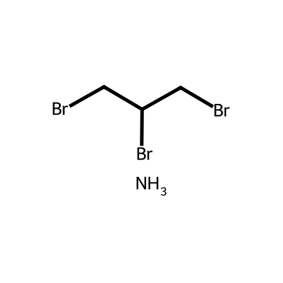 BrCC(Br)CBr.N